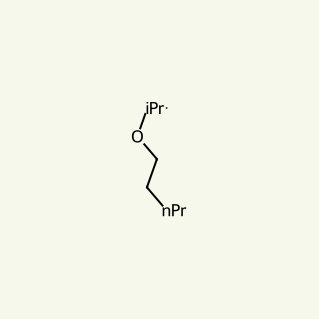 CCCCCO[C](C)C